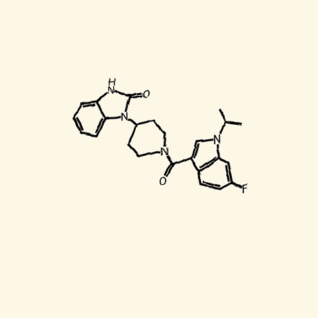 CC(C)n1cc(C(=O)N2CCC(n3c(=O)[nH]c4ccccc43)CC2)c2ccc(F)cc21